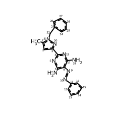 Cc1cc(-c2nc(N)c(/N=N/c3ccccc3)c(N)n2)nn1Cc1ccccc1